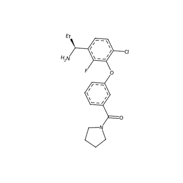 CC[C@H](N)c1ccc(Cl)c(Oc2cccc(C(=O)N3CCCC3)c2)c1F